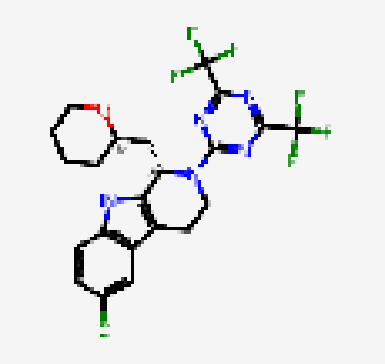 FC(F)(F)c1nc(N2CCc3c([nH]c4ccc(Cl)cc34)[C@@H]2C[C@H]2CCCCO2)nc(C(F)(F)F)n1